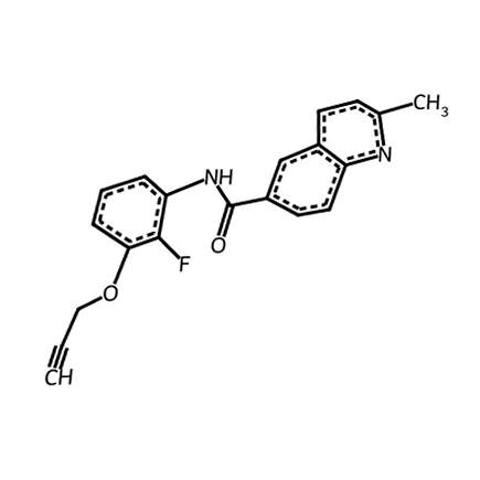 C#CCOc1cccc(NC(=O)c2ccc3nc(C)ccc3c2)c1F